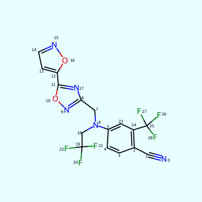 N#Cc1ccc(N(Cc2noc(-c3ccno3)n2)CC(F)(F)F)cc1C(F)(F)F